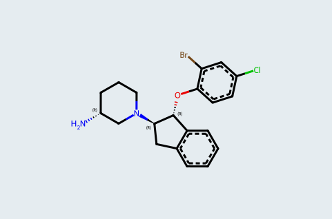 N[C@@H]1CCCN([C@@H]2Cc3ccccc3[C@H]2Oc2ccc(Cl)cc2Br)C1